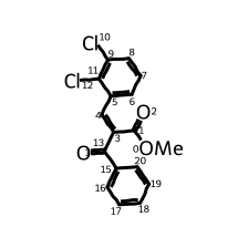 COC(=O)C(=Cc1cccc(Cl)c1Cl)C(=O)c1ccccc1